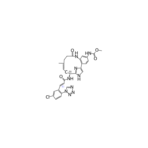 COC(=O)Nc1ccc2c(c1)NC(=O)CCC(C)=CC[C@H](NC(=O)/C=C/c1cc(Cl)ccc1-n1cnnn1)c1nc-2c[nH]1